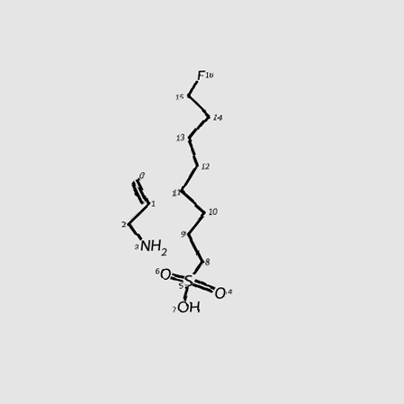 C=CCN.O=S(=O)(O)CCCCCCCCF